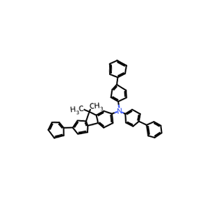 CC1(C)c2cc(-c3ccccc3)ccc2-c2ccc(N(c3ccc(-c4ccccc4)cc3)c3ccc(-c4ccccc4)cc3)cc21